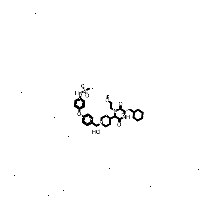 COCCN1C(=O)[C@H](CC2CCCCC2)NC(=O)C1C1CCN(Cc2ccc(Oc3ccc(NS(C)(=O)=O)cc3)cc2)CC1.Cl